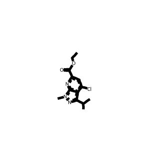 CCOC(=O)c1cc(Cl)c2c(C(C)C)nn(C)c2n1